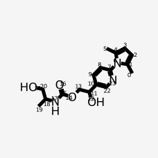 Cc1ccc(C)n1-c1ccc(C(O)COC(=O)NC(C)CO)cn1